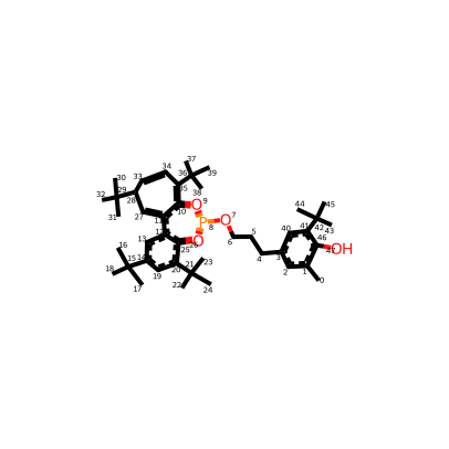 Cc1cc(CCCOp2oc3c(c4cc(C(C)(C)C)cc(C(C)(C)C)c4o2)=CC(C(C)(C)C)C=CC=3C(C)(C)C)cc(C(C)(C)C)c1O